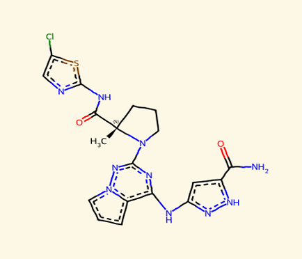 C[C@@]1(C(=O)Nc2ncc(Cl)s2)CCCN1c1nc(Nc2cc(C(N)=O)[nH]n2)c2cccn2n1